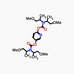 COCC(C)N(C(=O)Oc1ccc(OC(=O)N(C(C)COC)C(C)COC)nc1)C(C)COC